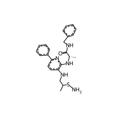 CC(CNc1ccc(-c2ccccc2)nc1N[C@@H](C)C(=O)NCc1ccccc1)SN